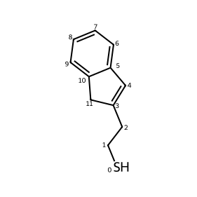 SCCC1=Cc2ccccc2C1